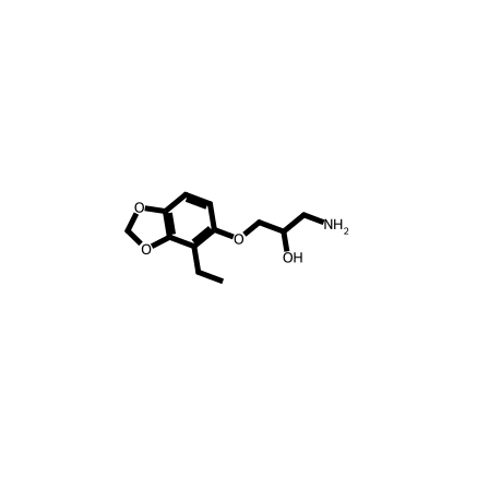 CCc1c(OCC(O)CN)ccc2c1OCO2